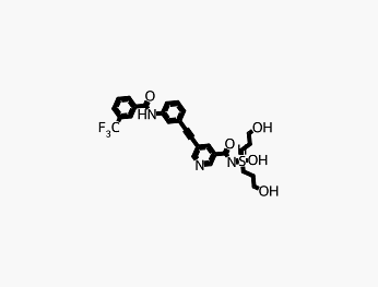 O=C(N=[SH](O)(CCCO)CCCO)c1cncc(C#Cc2cccc(NC(=O)c3cccc(C(F)(F)F)c3)c2)c1